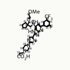 COCCOCC1(CN(C)c2cc(-c3cc(F)cc(C(F)(F)F)c3)nc3nc(-c4cnc(N5CCN(CCC(=O)O)CC5)cn4)[nH]c23)CCCC1